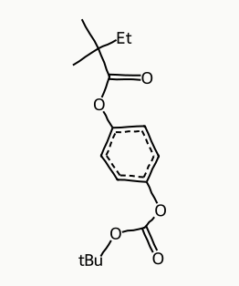 CCC(C)(C)C(=O)Oc1ccc(OC(=O)OC(C)(C)C)cc1